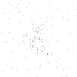 COc1ccc(C(=N)c2c(N)ncnc2NC(C)c2nc3ccc(F)cc3c(=O)n2C2CC2)cc1